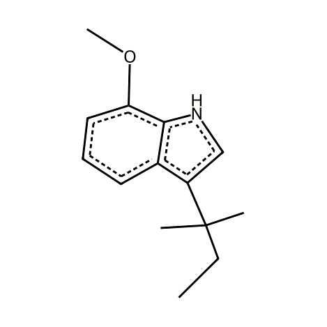 CCC(C)(C)c1c[nH]c2c(OC)cccc12